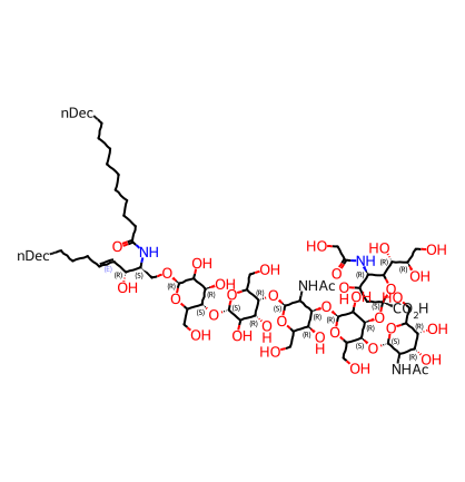 CCCCCCCCCCCCC/C=C/[C@@H](O)[C@H](CO[C@@H]1OC(CO)[C@@H](O[C@@H]2OC(CO)[C@H](O[C@@H]3OC(CO)[C@H](O)[C@H](O[C@@H]4OC(CO)[C@H](O[C@@H]5OC(CO)[C@H](O)[C@H](O)C5NC(C)=O)[C@H](O[C@]5(C(=O)O)CC(O)[C@@H](NC(=O)CO)C([C@H](O)[C@H](O)CO)O5)C4O)C3NC(C)=O)[C@H](O)C2O)[C@H](O)C1O)NC(=O)CCCCCCCCCCCCCCCCCCC